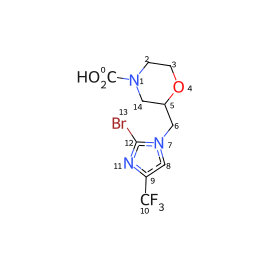 O=C(O)N1CCOC(Cn2cc(C(F)(F)F)nc2Br)C1